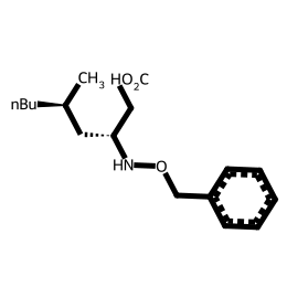 CCCC[C@@H](C)C[C@H](CC(=O)O)NOCc1ccccc1